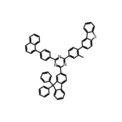 Cc1cc(-c2nc(-c3ccc(-c4cccc5ccccc45)cc3)nc(-c3ccc4c(c3)C(c3ccccc3)(c3ccccc3)c3ccccc3-4)n2)ccc1-c1ccc2sc3ccccc3c2c1